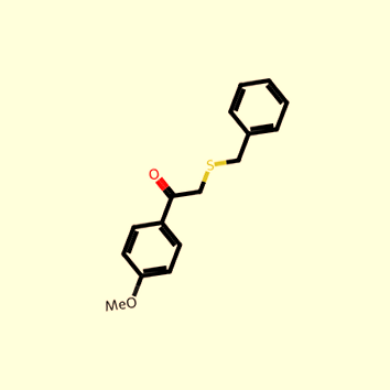 COc1ccc(C(=O)CSCc2ccccc2)cc1